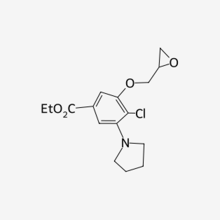 CCOC(=O)c1cc(OCC2CO2)c(Cl)c(N2CCCC2)c1